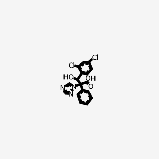 O=C(O)C(c1ccccc1)(C(O)c1ccc(Cl)cc1Cl)n1cncn1